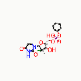 C[C@@]1(F)[C@H](O)[C@@H](COP(=O)(O)Oc2ccccc2)O[C@H]1n1ccc(=O)[nH]c1=O